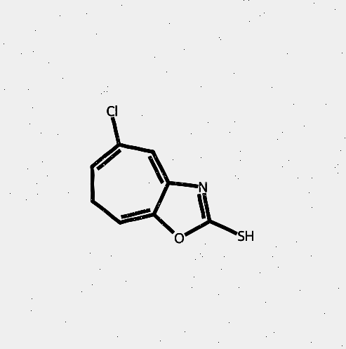 Sc1nc2c(o1)=CCC=C(Cl)C=2